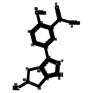 CNC(=O)c1cc(-c2n[nH]c3c2CN(C#N)C3)ccc1OC